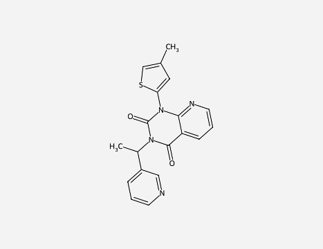 Cc1csc(-n2c(=O)n(C(C)c3cccnc3)c(=O)c3cccnc32)c1